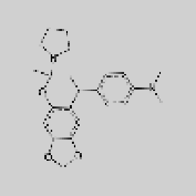 CN(C)c1ccc(C2CC(C)(N3CCCC3)Oc3cc4c(cc32)OCO4)cc1